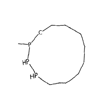 CP1CCCCCCCCCPP1